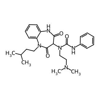 CC(C)CCN1C(=O)C(N(CCN(C)C)C(=O)Nc2ccccc2)C(=O)Nc2ccccc21